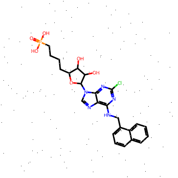 O=P(O)(O)CCCCC1OC(n2cnc3c(NCc4cccc5ccccc45)nc(Cl)nc32)C(O)C1O